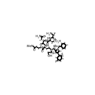 CNC(=O)CCNC(=O)[C@H](CCN(C(=O)CO)[C@@H](c1cc(-c2cc(F)ccc2F)cn1Cc1ccccc1)C(C)(C)C)NC(=O)[C@H](CC(N)=O)NC(=O)[C@H](CC(=O)O)NC(=O)[C@H](C)N